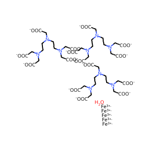 O.O=C([O-])CN(CCN(CC(=O)[O-])CC(=O)[O-])CCN(CC(=O)[O-])CC(=O)[O-].O=C([O-])CN(CCN(CC(=O)[O-])CC(=O)[O-])CCN(CC(=O)[O-])CC(=O)[O-].O=C([O-])CN(CCN(CC(=O)[O-])CC(=O)[O-])CCN(CC(=O)[O-])CC(=O)[O-].[Fe+3].[Fe+3].[Fe+3].[Fe+3].[Fe+3]